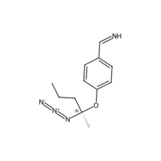 CCC[C@](C)(N=[N+]=[N-])Oc1ccc(C=N)cc1